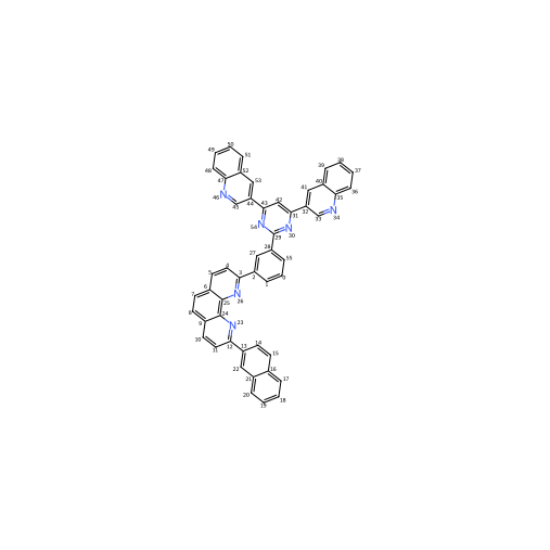 c1cc(-c2ccc3ccc4ccc(-c5ccc6ccccc6c5)nc4c3n2)cc(-c2nc(-c3cnc4ccccc4c3)cc(-c3cnc4ccccc4c3)n2)c1